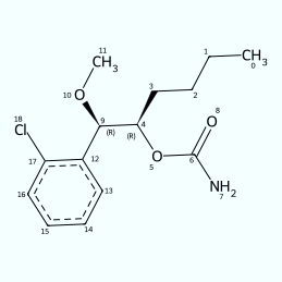 CCCC[C@@H](OC(N)=O)[C@H](OC)c1ccccc1Cl